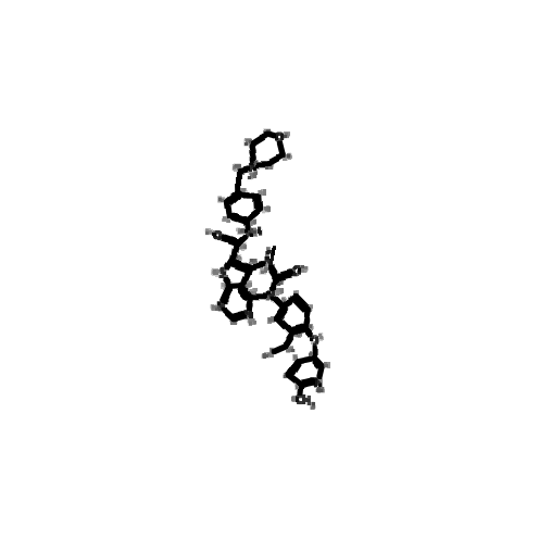 Cc1ccc(Oc2ccc(N3C(=O)Nc4c(C(=O)Nc5ccc(CN6CCOCC6)cc5)sc5ncnc3c45)cc2CI)cn1